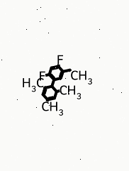 CCc1cc(C2C(C)=CC(C)=CC2C)c(F)cc1F